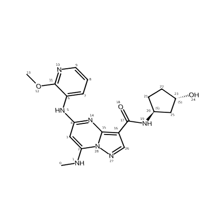 CNc1cc(Nc2cccnc2OC)nc2c(C(=O)N[C@H]3CC[C@H](O)C3)cnn12